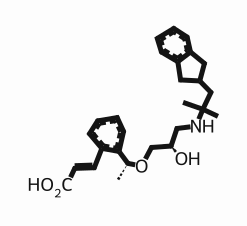 C[C@@H](OC[C@@H](O)CNC(C)(C)CC1Cc2ccccc2C1)c1ccccc1/C=C/C(=O)O